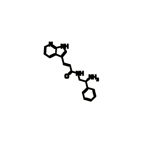 N[C@H](CNC(=O)/C=C/c1c[nH]c2ncccc12)c1ccccc1